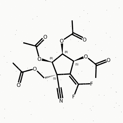 CC(=O)OC[C@@]1(C#N)C(=C(F)F)[C@H](OC(C)=O)[C@H](OC(C)=O)[C@@H]1OC(C)=O